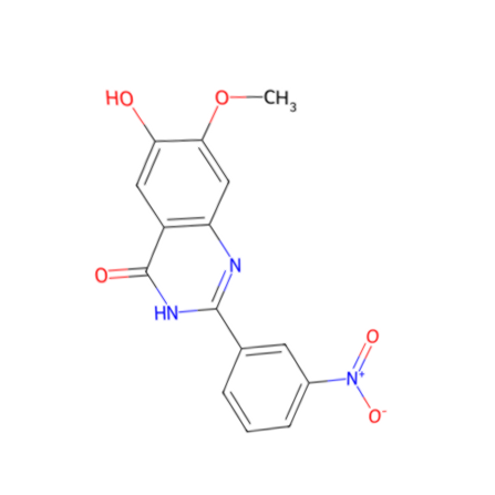 COc1cc2nc(-c3cccc([N+](=O)[O-])c3)[nH]c(=O)c2cc1O